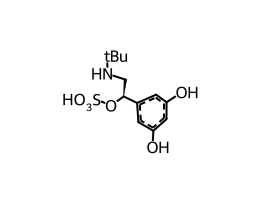 CC(C)(C)NC[C@H](OS(=O)(=O)O)c1cc(O)cc(O)c1